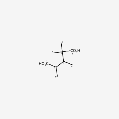 CC(C(=O)O)C(C)C(C)(C)C(=O)O